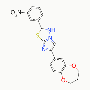 O=[N+]([O-])c1cccc(C2Nn3cc(-c4ccc5c(c4)OCCCO5)nc3S2)c1